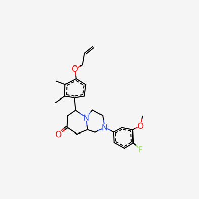 C=CCOc1ccc(C2CC(=O)CC3CN(c4ccc(F)c(OC)c4)CCN32)c(C)c1C